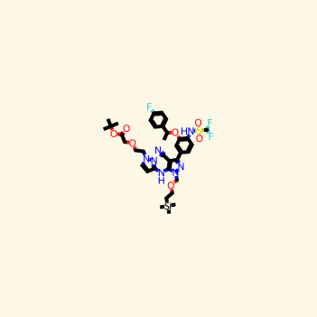 CC(Oc1cc(-c2nn(COCC[Si](C)(C)C)c(Nc3ccn(CCOCC(=O)OC(C)(C)C)n3)c2C#N)ccc1NS(=O)(=O)C(F)F)c1ccc(F)cc1